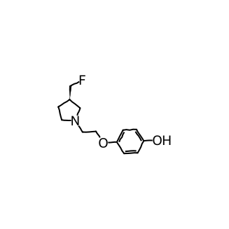 Oc1ccc(OCCN2CC[C@@H](CF)C2)cc1